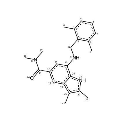 Cc1cccc(C)c1CNc1cc(C(=O)N(C)C)nc2c(C)c(C)[nH]c12